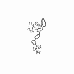 Cc1cc(CN2CCC(c3cccc(NC(=O)C(C)C)c3)CC2)cc2c3ccccc3n(C)c12